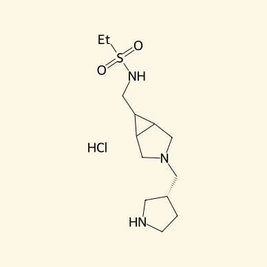 CCS(=O)(=O)NCC1C2CN(C[C@@H]3CCNC3)CC12.Cl